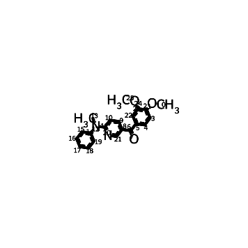 COc1ccc(C(=O)c2ccc(N(C)c3ccccc3)nc2)cc1OC